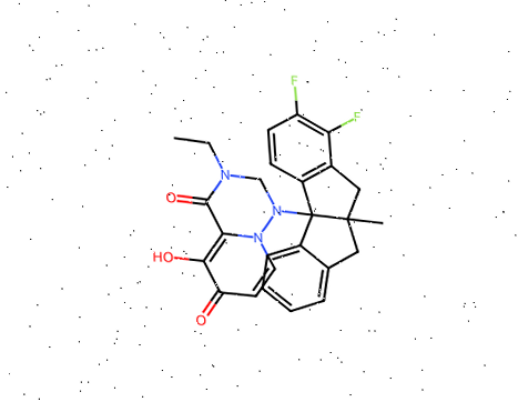 CCN1CN(C23c4ccccc4CC2(C)Cc2c3ccc(F)c2F)n2ccc(=O)c(O)c2C1=O